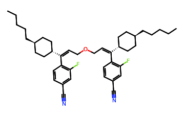 CCCCC[C@H]1CC[C@H](C(=CCOCC=C(c2ccc(C#N)cc2F)[C@H]2CC[C@H](CCCCC)CC2)c2ccc(C#N)cc2F)CC1